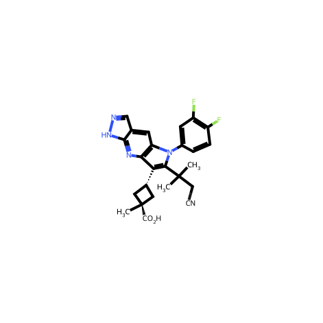 CC(C)(CC#N)c1c([C@H]2C[C@](C)(C(=O)O)C2)c2nc3[nH]ncc3cc2n1-c1ccc(F)c(F)c1